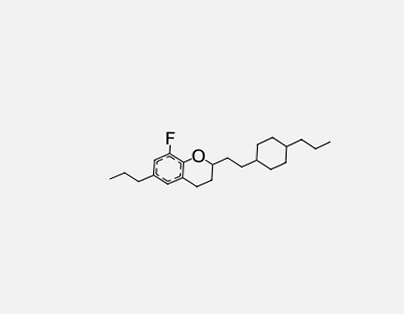 CCCc1cc(F)c2c(c1)CCC(CCC1CCC(CCC)CC1)O2